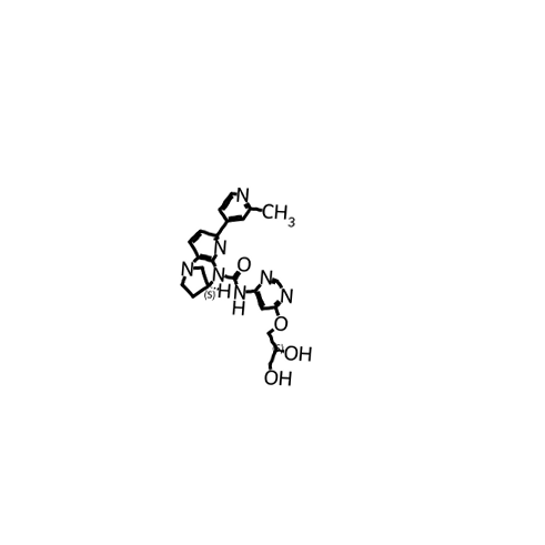 Cc1cc(-c2ccc3c(n2)N(C(=O)Nc2cc(OC[C@@H](O)CO)ncn2)[C@H]2CCN3C2)ccn1